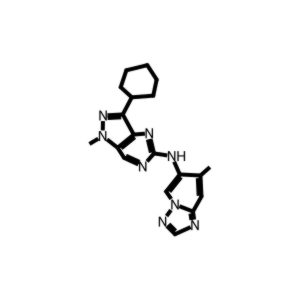 Cc1cc2ncnn2cc1Nc1ncc2c(n1)c(C1CCCCC1)nn2C